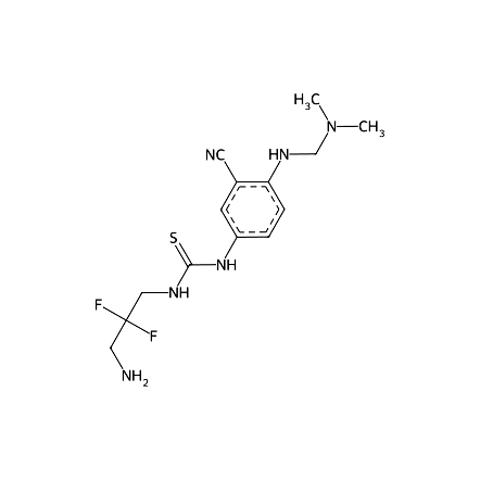 CN(C)CNc1ccc(NC(=S)NCC(F)(F)CN)cc1C#N